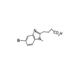 Cn1c(CCCC(=O)O)nc2cc(Br)ccc21